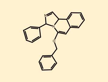 C1=NC(c2ccccc2)N2C(OCc3ccccc3)=Cc3ccccc3C12